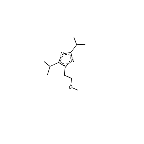 COCCn1nc(C(C)C)nc1C(C)C